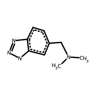 CN(C)Cc1ccc2c(c1)[N]N=N2